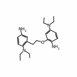 CCN(CC)c1ccc(N)c(OCCc2cc(N)ccc2N(CC)CC)c1